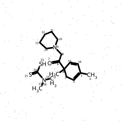 CC1=CCC(C)(C(=O)CN2CCCCC2)C=C1.CN(C)C(=S)S